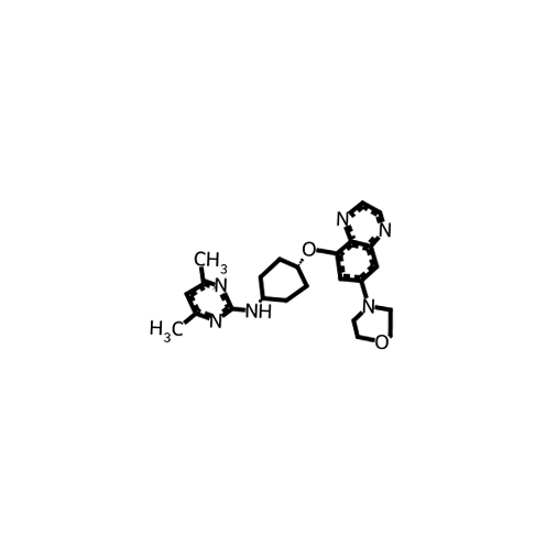 Cc1cc(C)nc(N[C@H]2CC[C@@H](Oc3cc(N4CCOCC4)cc4nccnc34)CC2)n1